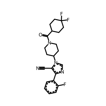 N#Cc1c(-c2ccccc2F)ncn1C1CCN(C(=O)C2CCC(F)(F)CC2)CC1